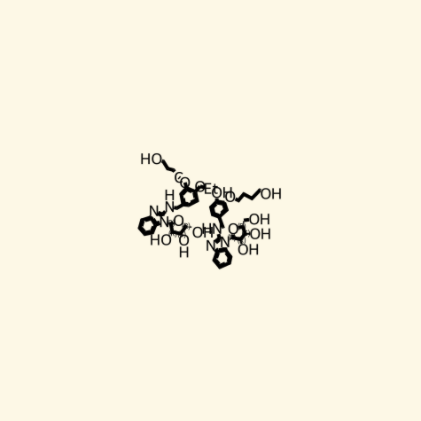 CCOc1ccc(CNc2nc3ccccc3n2[C@@H]2O[C@H](CO)[C@@H](O)[C@H]2O)cc1OCCCCO.OCCCCOc1cc(CNc2nc3ccccc3n2[C@@H]2O[C@H](CO)[C@@H](O)[C@H]2O)ccc1O